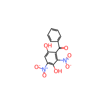 O=C(c1ccccc1)c1c(O)cc([N+](=O)[O-])c(O)c1[N+](=O)[O-]